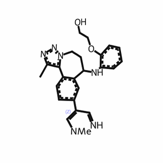 CN/C=C(\C=N)c1ccc2c(c1)C(Nc1ccccc1OCCO)CCn1nnc(C)c1-2